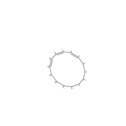 C1=CC=CCCCCCCCCC=C1